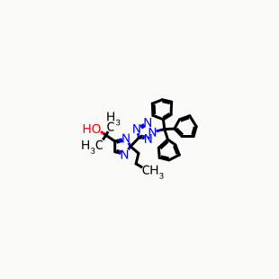 CCCC1(c2nnn(C(c3ccccc3)(c3ccccc3)c3ccccc3)n2)N=CC(C(C)(C)O)=N1